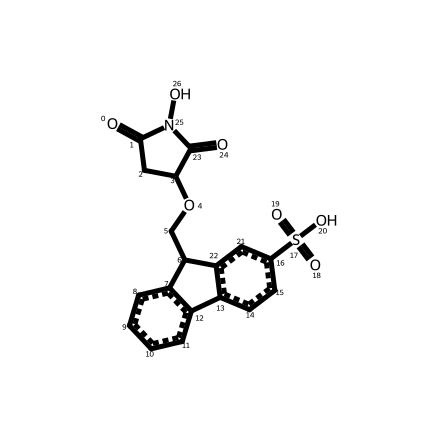 O=C1CC(OCC2c3ccccc3-c3ccc(S(=O)(=O)O)cc32)C(=O)N1O